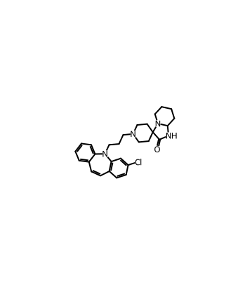 O=C1NC2CCCCN2C12CCN(CCCN1c3ccccc3C=Cc3ccc(Cl)cc31)CC2